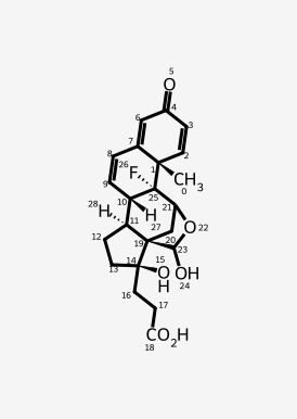 C[C@]12C=CC(=O)C=C1C=C[C@H]1[C@@H]3CC[C@@](O)(CCC(=O)O)[C@@]34CC(OC4O)[C@@]12F